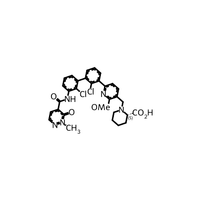 COc1nc(-c2cccc(-c3cccc(NC(=O)c4ccnn(C)c4=O)c3Cl)c2Cl)ccc1CN1CCCC[C@H]1C(=O)O